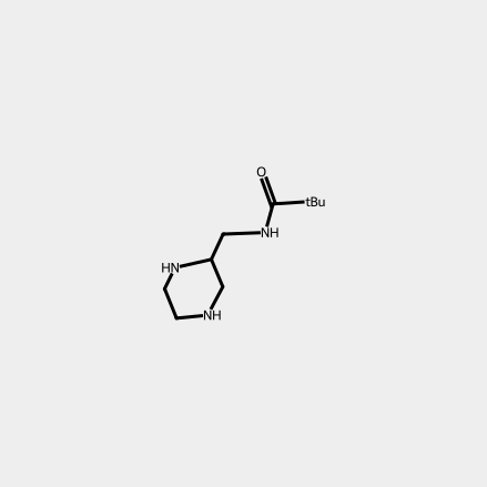 CC(C)(C)C(=O)NCC1CNCCN1